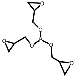 C1OC1COP(OCC1CO1)OCC1CO1